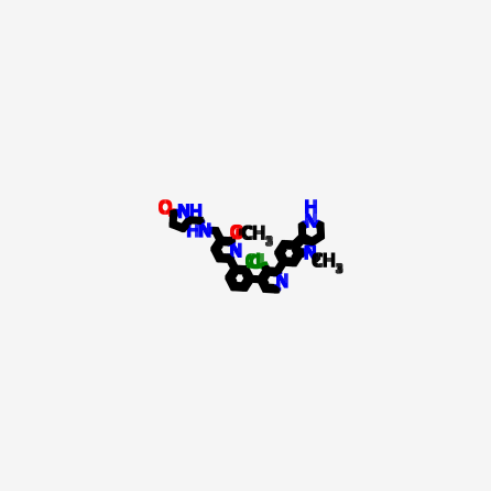 COc1nc(-c2cccc(-c3ccnc(-c4ccc5c6c(n(C)c5c4)CCNC6)c3Cl)c2Cl)ccc1CNCC1CCC(=O)N1